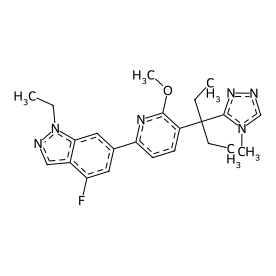 CCn1ncc2c(F)cc(-c3ccc(C(CC)(CC)c4nncn4C)c(OC)n3)cc21